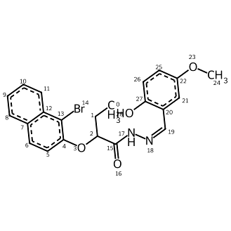 CCC(Oc1ccc2ccccc2c1Br)C(=O)N/N=C\c1cc(OC)ccc1O